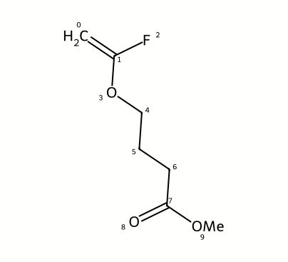 C=C(F)OCCCC(=O)OC